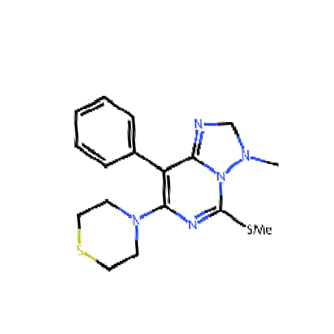 CSC1=NC(N2CCSCC2)=C(c2ccccc2)C2=NCN(C)N12